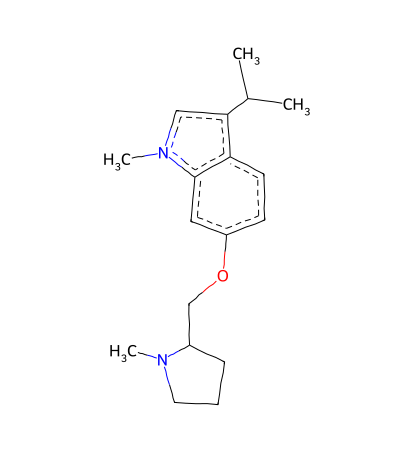 CC(C)c1cn(C)c2cc(OCC3CCCN3C)ccc12